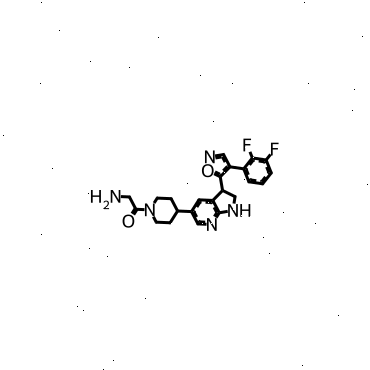 NCC(=O)N1CCC(c2cnc3c(c2)C(c2oncc2-c2cccc(F)c2F)CN3)CC1